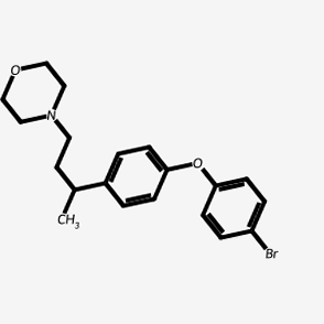 CC(CCN1CCOCC1)c1ccc(Oc2ccc(Br)cc2)cc1